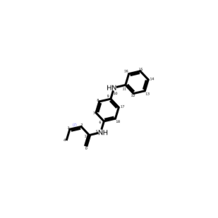 C=C(/C=C\C)Nc1ccc(Nc2ccccc2)cc1